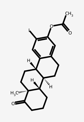 CC(=O)Oc1cc2c(cc1I)[C@H]1CC[C@]3(C)C(=O)CCC[C@H]3[C@@H]1CC2